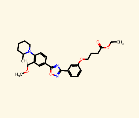 CCOC(=O)CCCOc1cccc(-c2noc(-c3ccc(N4CCCCC4C)c(COC)c3)n2)c1